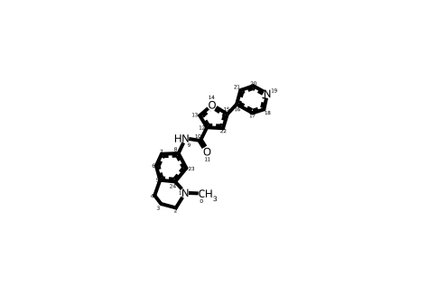 CN1CCCc2ccc(NC(=O)c3coc(-c4ccncc4)c3)cc21